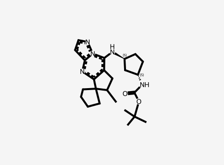 CC1Cc2c(nc3ccnn3c2N[C@H]2CC[C@H](NC(=O)OC(C)(C)C)C2)C12CCCC2